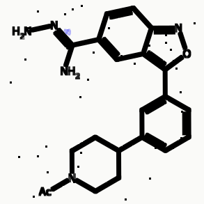 CC(=O)N1CCC(c2cccc(-c3onc4ccc(/C(N)=N/N)cc34)c2)CC1